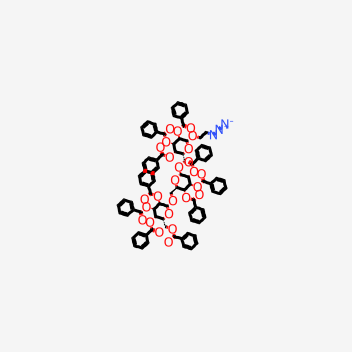 [N-]=[N+]=NCCO[C@@H]1O[C@H](CO[C@@H]2O[C@H](CO[C@@H]3O[C@H](COC(=O)c4ccccc4)[C@@H](OC(=O)c4ccccc4)[C@H](OC(=O)c4ccccc4)[C@H]3OC(=O)c3ccccc3)[C@@H](OC(=O)c3ccccc3)[C@H](OC(=O)c3ccccc3)[C@H]2OC(=O)c2ccccc2)[C@@H](OC(=O)c2ccccc2)[C@H](OC(=O)c2ccccc2)[C@H]1OC(=O)c1ccccc1